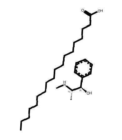 CCCCCCCCCCCCCCCCCC(=O)O.CN[C@@H](C)[C@H](O)c1ccccc1